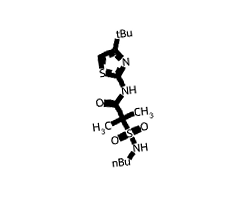 CCCCNS(=O)(=O)C(C)(C)C(=O)Nc1nc(C(C)(C)C)cs1